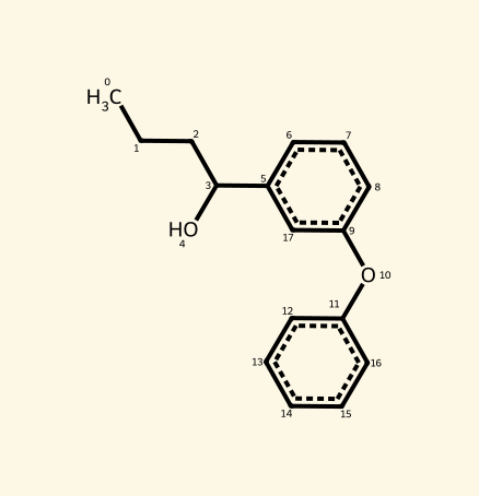 CCCC(O)c1cccc(Oc2ccccc2)c1